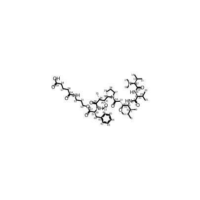 CC[C@H](C)[C@H](NC(=O)[C@@H](NC(=O)[C@H](C(C)C)N(C)C)C(C)C)[C@@H](CC(=O)N1CCC[C@H]1[C@H](OC)[C@@H](C)C(=O)N[C@@H](Cc1ccccc1)C(=O)OCCCNC(=O)CCCC(=O)O)OC